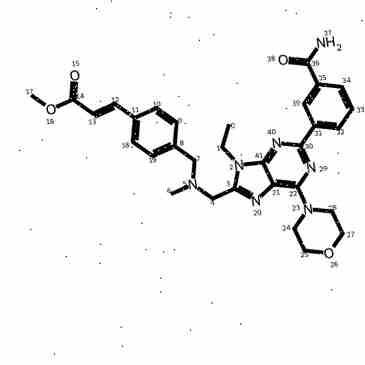 CCn1c(CN(C)Cc2ccc(/C=C/C(=O)OC)cc2)nc2c(N3CCOCC3)nc(-c3cccc(C(N)=O)c3)nc21